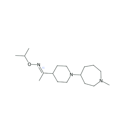 C/C(=N\OC(C)C)C1CCN(C2CCCN(C)CC2)CC1